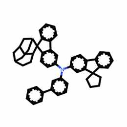 c1ccc(-c2cccc(N(c3ccc4c(c3)-c3ccccc3C43C4CCC5CCC3CC(C5)C4)c3ccc4c(c3)C3(CCCC3)c3ccccc3-4)c2)cc1